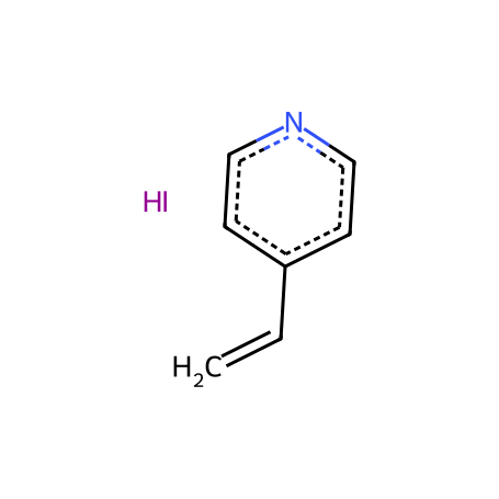 C=Cc1ccncc1.I